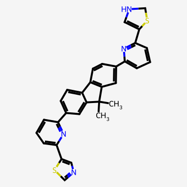 CC1(C)c2cc(-c3cccc(C4=CNCS4)n3)ccc2-c2ccc(-c3cccc(-c4cncs4)n3)cc21